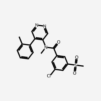 Cc1ccccc1-c1cnncc1N(C)C(=O)c1cc(Cl)cc(S(C)(=O)=O)c1